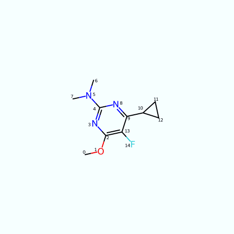 COc1nc(N(C)C)nc(C2CC2)c1F